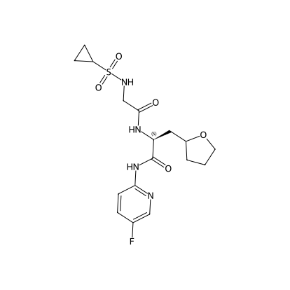 O=C(CNS(=O)(=O)C1CC1)N[C@@H](CC1CCCO1)C(=O)Nc1ccc(F)cn1